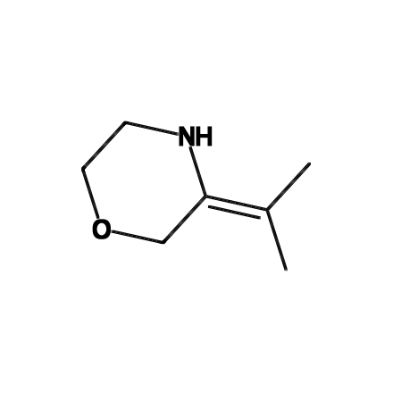 CC(C)=C1COCCN1